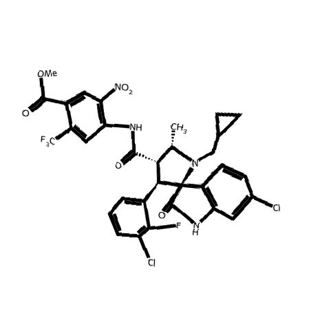 COC(=O)c1cc([N+](=O)[O-])c(NC(=O)[C@@H]2[C@H](C)N(CC3CC3)[C@@]3(C(=O)Nc4cc(Cl)ccc43)[C@H]2c2cccc(Cl)c2F)cc1C(F)(F)F